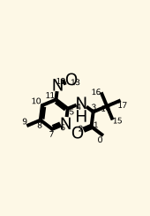 CC(=O)C(Nc1ncc(C)cc1N=O)C(C)(C)C